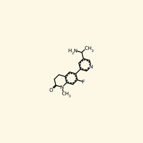 CC(N)c1cncc(-c2cc3c(cc2F)N(C)C(=O)CC3)c1